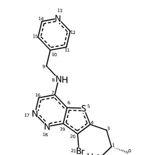 C[C@H](N)Cc1sc2c(NCc3ccncc3)cnnc2c1Br